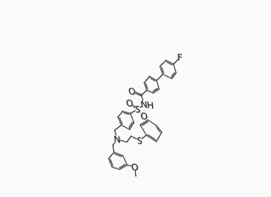 COc1cccc(CN(CCSc2ccccc2)Cc2ccc(S(=O)(=O)NC(=O)c3ccc(-c4ccc(F)cc4)cc3)cc2)c1